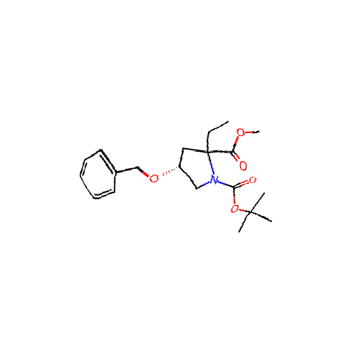 CCC1(C(=O)OC)C[C@@H](OCc2ccccc2)CN1C(=O)OC(C)(C)C